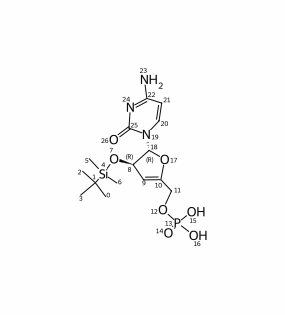 CC(C)(C)[Si](C)(C)O[C@@H]1C=C(COP(=O)(O)O)O[C@H]1n1ccc(N)nc1=O